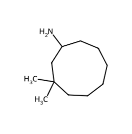 CC1(C)CCCCCCC(N)C1